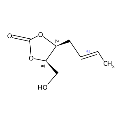 C/C=C/C[C@@H]1OC(=O)O[C@@H]1CO